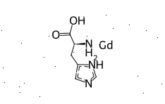 N[C@@H](Cc1cnc[nH]1)C(=O)O.[Gd]